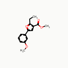 CCc1oc(-c2cccc(OC)c2)cc1C(=O)OC